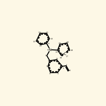 C=Cc1cccc(CN(c2ccccc2)c2ccccc2)c1